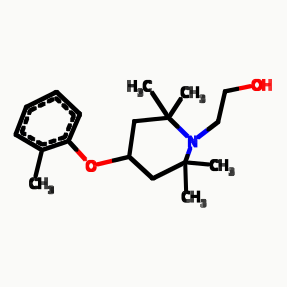 Cc1ccccc1OC1CC(C)(C)N(CCO)C(C)(C)C1